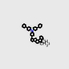 CC1(C)c2ccccc2-c2c1ccc1c2Cc2c(-c3ccc(N(c4ccc(-c5ccccc5)cc4)c4ccc(-c5ccccc5)cc4)cc3)cccc2-1